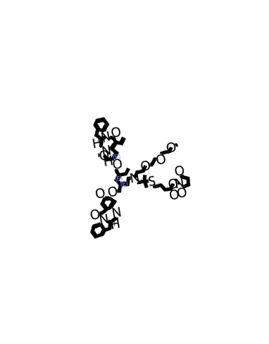 C=CC1=C(/C=C(\COC)OC/C(=C/C(=C\CN(CCOCCOCCOC)CC(C)(C)SCCCC(=O)ON2C(=O)CCC2=O)COc2cc3c(cc2OC)C(=O)N2c4ccccc4C[C@@H]2C=N3)CC)NC[C@@H]2Cc3ccccc3N2C1=O